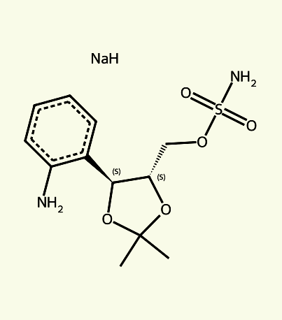 CC1(C)O[C@@H](COS(N)(=O)=O)[C@H](c2ccccc2N)O1.[NaH]